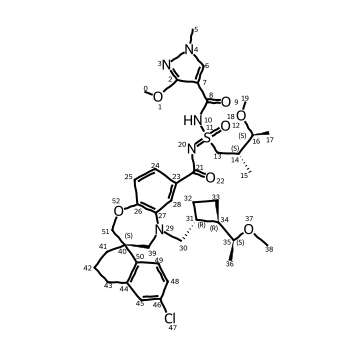 COc1nn(C)cc1C(=O)NS(=O)(C[C@@H](C)[C@H](C)OC)=NC(=O)c1ccc2c(c1)N(C[C@@H]1CC[C@H]1[C@H](C)OC)C[C@@]1(CCCc3cc(Cl)ccc31)CO2